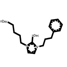 CCCCCCCCCCCCCCn1cc[n+](CCCc2ccccc2)c1CCCCCCCCCC